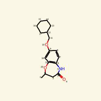 CC1CC(=O)Nc2ccc(OCC3CCCCC3)cc2O1